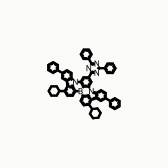 c1ccc(-c2ccc3c(c2)c2c(C4CCCCC4)ccc4c2n3-c2cc(-c3nc(-c5ccccc5)nc(-c5ccccc5)n3)cc3c2B4c2ccc(C4CCCCC4)c4c5cc(-c6ccccc6)ccc5n-3c24)cc1